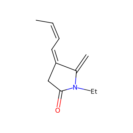 C=C1/C(=C\C=C/C)CC(=O)N1CC